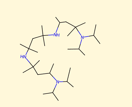 CC(CC(C)(C)N(C(C)C)C(C)C)NC(C)(C)CC(C)(C)NC(C)(C)CC(C)N(C(C)C)C(C)C